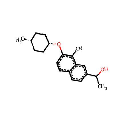 CC(O)c1ccc2ccc(O[C@H]3CC[C@@H](C)CC3)c(C#N)c2c1